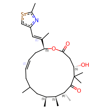 C/C(=C\c1csc(C)n1)[C@@H]1C/C=C\CC(C)C[C@H](C)[C@H](C)[C@@H](C)C(=O)C(C)(C)[C@@H](O)CC(=O)O1